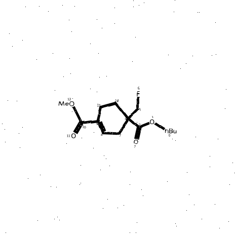 CCCCOC(=O)C1(CF)CC=C(C(=O)OC)CC1